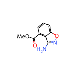 COC(=O)c1cccc2onc(N)c12